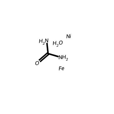 NC(N)=O.O.[Fe].[Ni]